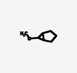 COC1C2CCCC21